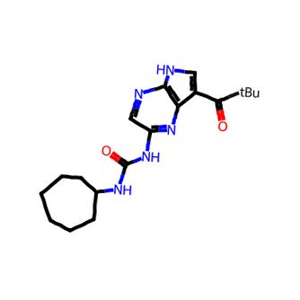 CC(C)(C)C(=O)c1c[nH]c2ncc(NC(=O)NC3CCCCCC3)nc12